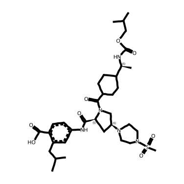 CC(C)COC(=O)N[C@@H](C)C1CCC(C(=O)N2C[C@@H](N3CCN(S(C)(=O)=O)CC3)C[C@H]2C(=O)Nc2ccc(C(=O)O)c(CC(C)C)c2)CC1